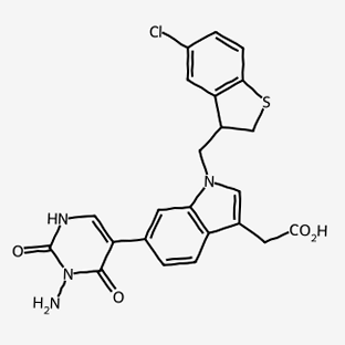 Nn1c(=O)[nH]cc(-c2ccc3c(CC(=O)O)cn(CC4CSc5ccc(Cl)cc54)c3c2)c1=O